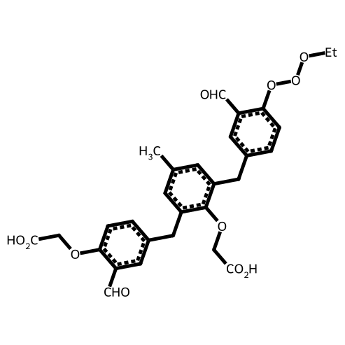 CCOOOc1ccc(Cc2cc(C)cc(Cc3ccc(OCC(=O)O)c(C=O)c3)c2OCC(=O)O)cc1C=O